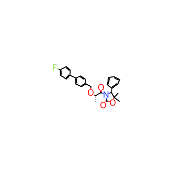 C[C@H](OCc1ccc(-c2ccc(F)cc2)cc1)C(=O)N1C(=O)OC(C)(C)[C@@H]1c1ccccc1